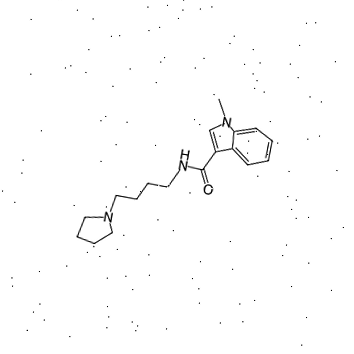 Cn1cc(C(=O)NCCCCN2C[CH]CC2)c2ccccc21